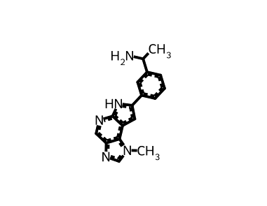 CC(N)c1cccc(-c2cc3c(ncc4ncn(C)c43)[nH]2)c1